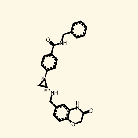 O=C1COc2ccc(CN[C@@H]3C[C@H]3c3ccc(C(=O)NCc4ccccc4)cc3)cc2N1